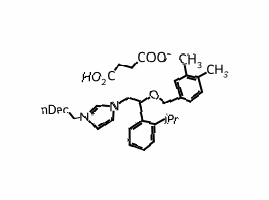 CCCCCCCCCCC[n+]1ccn(CC(OCc2ccc(C)c(C)c2)c2ccccc2C(C)C)c1.O=C([O-])CCC(=O)O